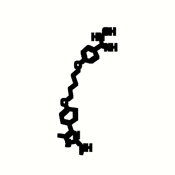 CNc1nc(-c2ccc(OCCCCCOc3ccc(C(=N)NO)cc3)cc2)c(C)s1